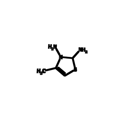 CC1=CSC(N)N1N